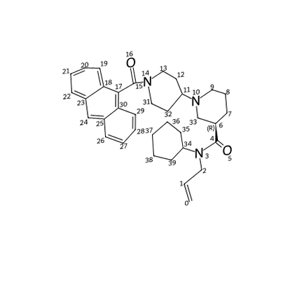 C=CCN(C(=O)[C@@H]1CCCN(C2CCN(C(=O)c3c4ccccc4cc4ccccc34)CC2)C1)C1CCCCC1